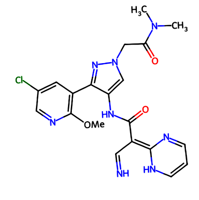 COc1ncc(Cl)cc1-c1nn(CC(=O)N(C)C)cc1NC(=O)/C(C=N)=C1\N=CC=CN1